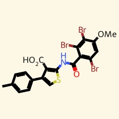 COc1cc(Br)c(C(=O)Nc2scc(-c3ccc(C)cc3)c2C(=O)O)c(Br)c1Br